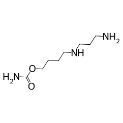 NCCCNCCCCOC(N)=O